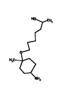 CC(O)CCCCCOC1(C)CCC(N)CC1